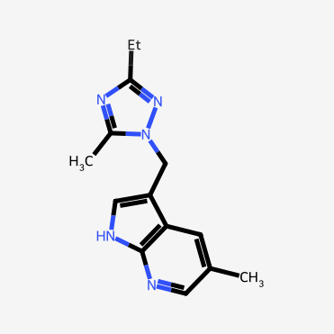 CCc1nc(C)n(Cc2c[nH]c3ncc(C)cc23)n1